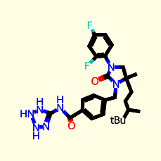 CC(CCC1(C)CN(c2ccc(F)cc2F)C(=O)N1Cc1ccc(C(=O)NC2=NNNN2)cc1)C(C)(C)C